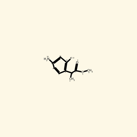 COC(=O)C(C)c1ccc(N)cc1F